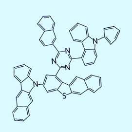 c1ccc(-n2c3ccccc3c3c(-c4nc(-c5ccc6ccccc6c5)nc(-c5cc(-n6c7ccccc7c7cc8ccccc8cc76)cc6sc7cc8ccccc8cc7c56)n4)cccc32)cc1